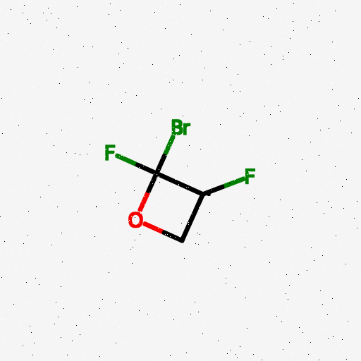 F[C]1COC1(F)Br